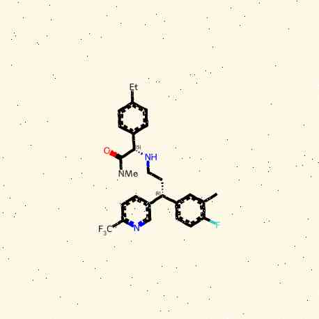 CCc1ccc([C@H](NCC[C@@H](c2ccc(C(F)(F)F)nc2)c2ccc(F)c(C)c2)C(=O)NC)cc1